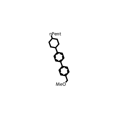 CCCCCC1CCC(c2ccc(-c3ccc(COC)cc3)cc2)CC1